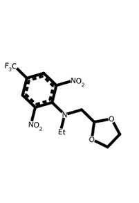 CCN(CC1OCCO1)c1c([N+](=O)[O-])cc(C(F)(F)F)cc1[N+](=O)[O-]